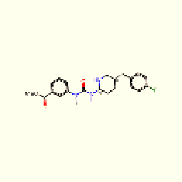 COC(=O)c1cccc(N(C)C(=O)N[C@@H]2CC[C@@H](Cc3ccc(F)cc3)CN2)c1